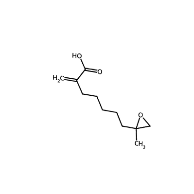 C=C(CCCCCC1(C)CO1)C(=O)O